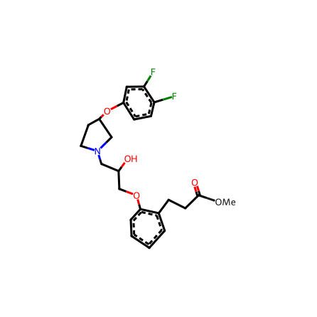 COC(=O)CCc1ccccc1OCC(O)CN1CCC(Oc2ccc(F)c(F)c2)C1